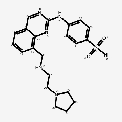 NS(=O)(=O)c1ccc(Nc2ncc3cccc(CNCCN4CCCC4)c3n2)cc1